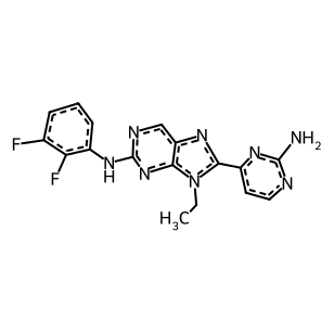 CCn1c(-c2ccnc(N)n2)nc2cnc(Nc3cccc(F)c3F)nc21